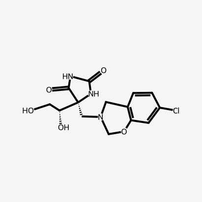 O=C1NC(=O)[C@](CN2COc3cc(Cl)ccc3C2)([C@H](O)CO)N1